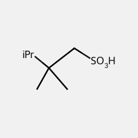 CC(C)C(C)(C)CS(=O)(=O)O